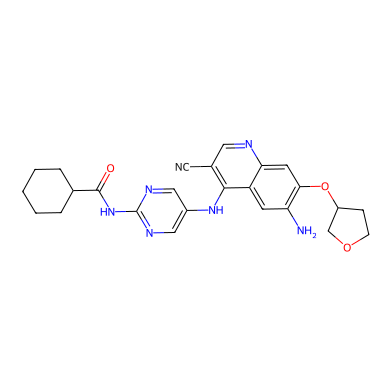 N#Cc1cnc2cc(OC3CCOC3)c(N)cc2c1Nc1cnc(NC(=O)C2CCCCC2)nc1